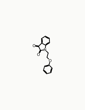 O=C1C(=O)N(CCOc2ccccc2)c2ccccc21